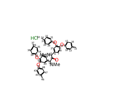 CNC(C(=O)C(NC)c1ccc(Oc2ccc(C)cc2)c(Oc2ccc(C)cc2)c1)c1ccc(Oc2ccc(C)cc2)c(Oc2ccc(C)cc2)c1.Cl